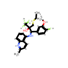 CCSCC(O)(C(Nc1cccc2nc(C)ccc12)c1ccc(F)c(OC)c1)C(F)(F)F